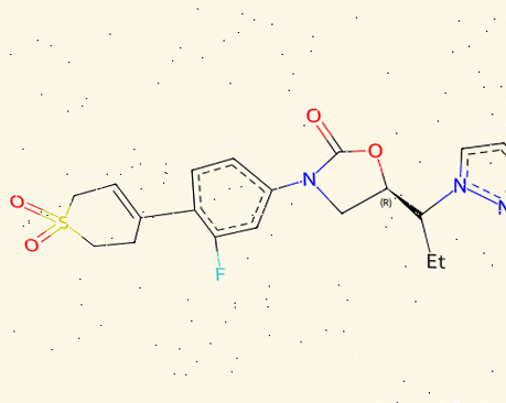 CCC([C@H]1CN(c2ccc(C3=CCS(=O)(=O)CC3)c(F)c2)C(=O)O1)n1ccnn1